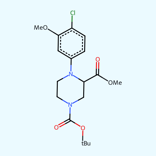 COC(=O)C1CN(C(=O)OC(C)(C)C)CCN1c1ccc(Cl)c(OC)c1